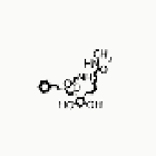 CCNC(=O)CCC/C=C\C[C@@H]1[C@@H](/C=C/[C@H](CCc2ccccc2)OC(=O)CN)[C@H](O)C[C@@H]1O